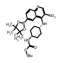 CC(C)(C)OC(=O)N[C@H]1CC[C@H](Nc2c([N+](=O)[O-])cnc3ccc(B4OC(C)(C)C(C)(C)O4)cc23)CC1